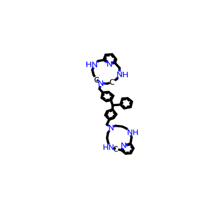 c1ccc(C(c2ccc(CN3CCCNCc4cccc(n4)CNCCC3)cc2)c2ccc(CN3CCCNCc4cccc(n4)CNCCC3)cc2)cc1